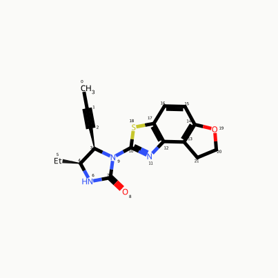 CC#C[C@@H]1[C@H](CC)NC(=O)N1c1nc2c3c(ccc2s1)OCC3